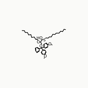 CCCCCCCCCCCCS[C@H](O)C(COC(c1ccccc1)(c1ccc(OC)cc1)c1ccc(OC)cc1)OCCCCCCCCCC